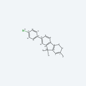 CC1=CC2=C(CC1)c1ccc(-c3ccc(Br)cc3)cc1C2(C)C